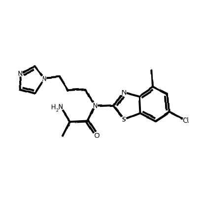 Cc1cc(Cl)cc2sc(N(CCCn3ccnc3)C(=O)C(C)N)nc12